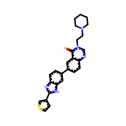 O=c1c2cc(-c3ccc4nc(-c5ccsc5)[nH]c4c3)ccc2ncn1CCN1CCCCC1